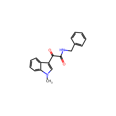 Cn1cc(C(=O)C(=O)NCc2ccccc2)c2ccccc21